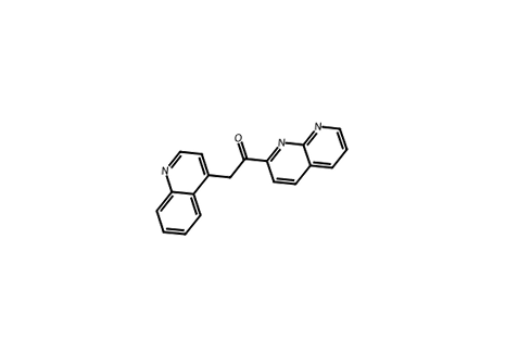 O=C(Cc1ccnc2ccccc12)c1ccc2cccnc2n1